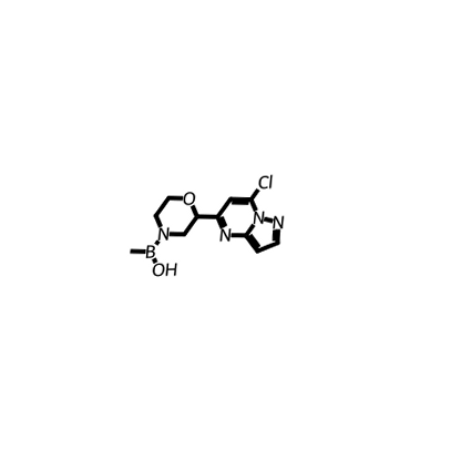 CB(O)N1CCOC(c2cc(Cl)n3nccc3n2)C1